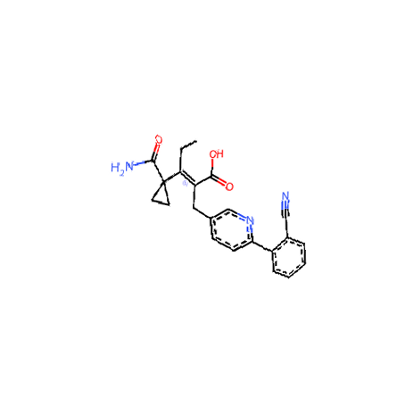 CC/C(=C(/Cc1ccc(-c2ccccc2C#N)nc1)C(=O)O)C1(C(N)=O)CC1